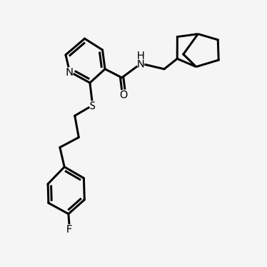 O=C(NCC1CC2CCC1C2)c1cccnc1SCCCc1ccc(F)cc1